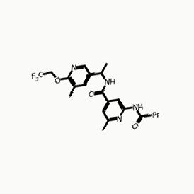 Cc1cc(C(=O)NC(C)c2cnc(OCC(F)(F)F)c(C)c2)cc(NC(=O)C(C)C)n1